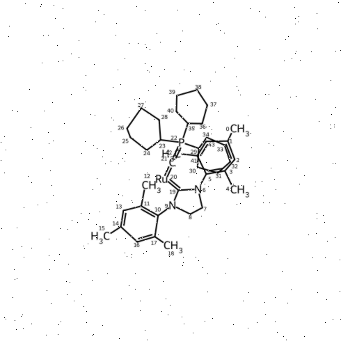 Cc1cc(C)c(N2CCN(c3c(C)cc(C)cc3C)[C]2=[Ru]=[C]=P(C2CCCCC2)(C2CCCCC2)C2CCCCC2)c(C)c1